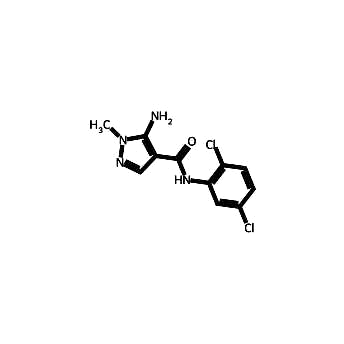 Cn1ncc(C(=O)Nc2cc(Cl)ccc2Cl)c1N